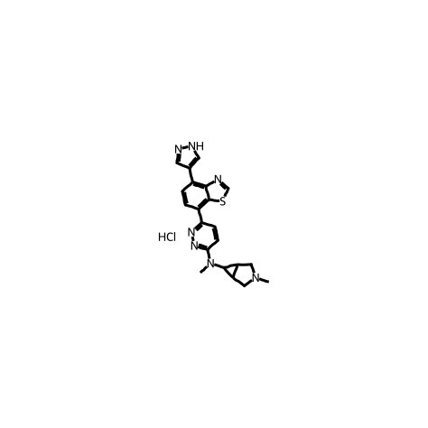 CN1CC2C(C1)C2N(C)c1ccc(-c2ccc(-c3cn[nH]c3)c3ncsc23)nn1.Cl